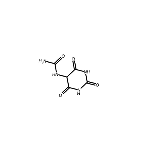 NC(=O)NC1C(=O)NC(=O)NC1=O